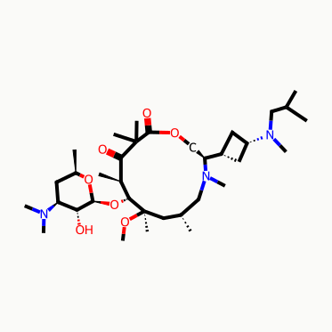 CO[C@]1(C)C[C@@H](C)CN(C)[C@H]([C@H]2C[C@@H](N(C)CC(C)C)C2)COC(=O)C(C)(C)C(=O)[C@H](C)[C@H]1O[C@@H]1O[C@H](C)C[C@H](N(C)C)[C@H]1O